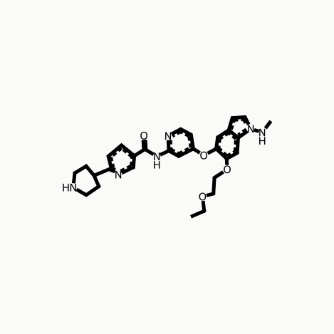 CCOCCOc1cc2c(ccn2NC)cc1Oc1ccnc(NC(=O)c2ccc(C3CCNCC3)nc2)c1